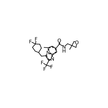 Cc1cc(C(=O)NCC2(C)COC2)cc2nc(C(F)(F)F)c(CC3CCC(F)(F)CC3)n12